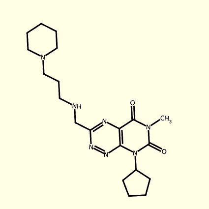 Cn1c(=O)c2nc(CNCCCN3CCCCC3)nnc2n(C2CCCC2)c1=O